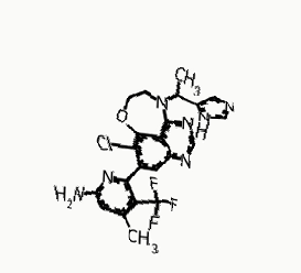 Cc1cc(N)nc(-c2cc3ncnc4c3c(c2Cl)OCCN4C(C)c2cnc[nH]2)c1C(F)(F)F